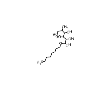 CC(CO)C(O)C(O)C(O)C(O)OCCCCCCCN